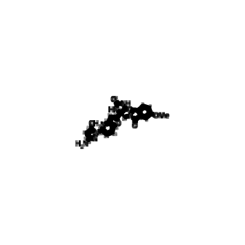 COc1ccc2c(c1)C(=O)N(C[C@@]1(c3cc4nc(-n5nc(N)cc5C)ccc4o3)NC(=O)NC1=O)C2